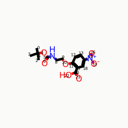 CC(C)(C)OC(=O)NCCOc1ccc([N+](=O)[O-])cc1C(=O)O